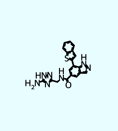 Nc1nc(CNC(=O)c2cc(-c3cc4ccccc4s3)c3[nH]ncc3c2)n[nH]1